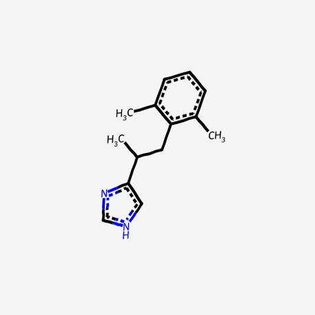 Cc1cccc(C)c1CC(C)c1c[nH]cn1